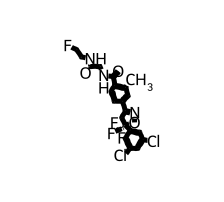 Cc1cc(C2=NO[C@](c3cc(Cl)cc(Cl)c3)(C(F)(F)F)C2)ccc1C(=O)NCC(=O)NCCF